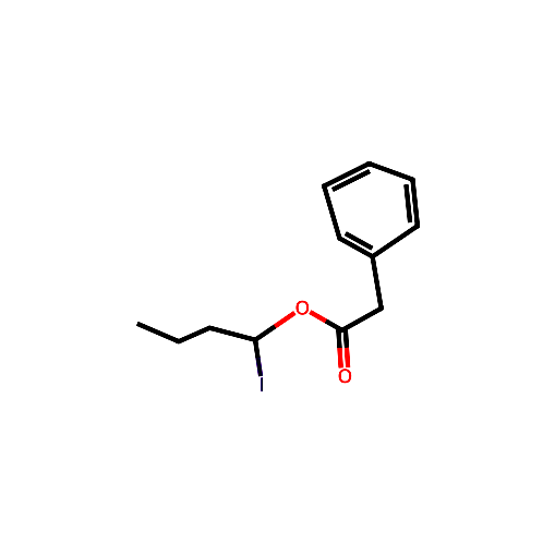 CCCC(I)OC(=O)Cc1ccccc1